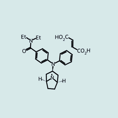 CCN(CC)C(=O)c1ccc(N(c2ccccc2)[C@H]2C[C@H]3CC[C@@H](C2)N3C)cc1.O=C(O)/C=C/C(=O)O